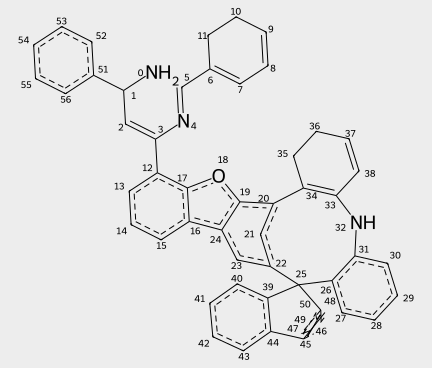 NC(/C=C(\N=C\C1=CC=CCC1)c1cccc2c1oc1c3cc(cc12)C1(c2ccccc2NC2=C3CCC=C2)c2ccccc2-c2ccccc21)c1ccccc1